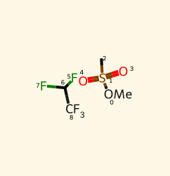 COS(C)(=O)=O.FC(F)C(F)(F)F